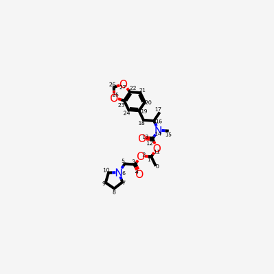 CC(OC(=O)CN1CCCC1)OC(=O)N(C)C(C)Cc1ccc2c(c1)OCO2